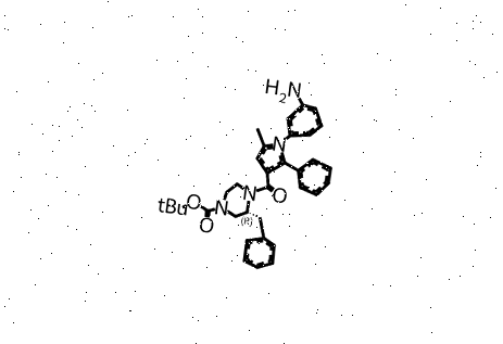 Cc1cc(C(=O)N2CCN(C(=O)OC(C)(C)C)C[C@H]2Cc2ccccc2)c(-c2ccccc2)n1-c1cccc(N)c1